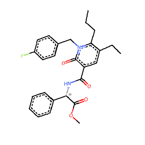 CCCc1c(CC)cc(C(=O)N[C@H](C(=O)OC)c2ccccc2)c(=O)n1Cc1ccc(F)cc1